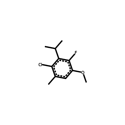 COc1cc(C)c(Cl)c(C(C)C)c1F